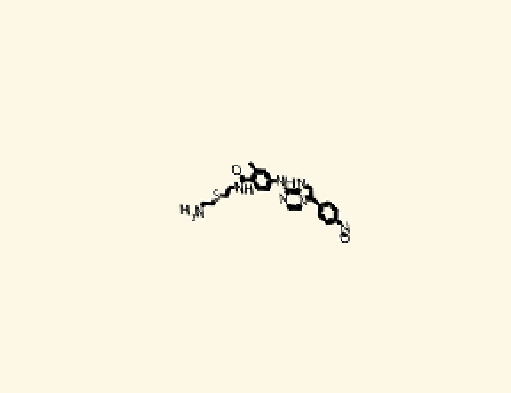 Cc1cc(Nc2nccn3c(-c4ccc(N=O)cc4)cnc23)ccc1C(=O)NCCSCCN